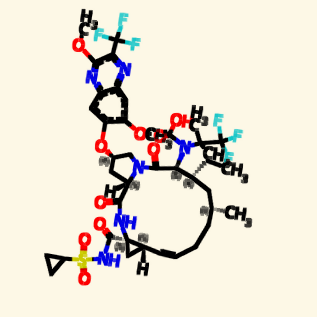 CC[C@@H]1C[C@H](C)CCC=C[C@@H]2C[C@@]2(C(=O)NS(=O)(=O)C2CC2)NC(=O)[C@@H]2C[C@@H](Oc3cc4nc(OC)c(C(F)(F)F)nc4cc3OC)CN2C(=O)[C@H]1N(C(=O)O)C(C)(C)C(F)(F)F